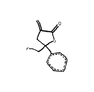 C=C1CC(CF)(c2ccccc2)OC1=O